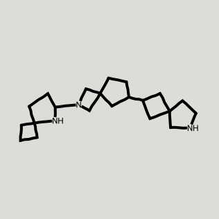 C1CC2(C1)CCC(N1CC3(CCC(C4CC5(CCNC5)C4)C3)C1)N2